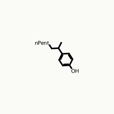 CCC[CH]CCC(C)c1ccc(O)cc1